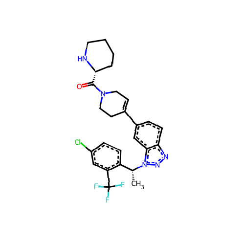 C[C@H](c1ccc(Cl)cc1C(F)(F)F)n1nnc2ccc(C3=CCN(C(=O)[C@H]4CCCCN4)CC3)cc21